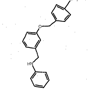 Cc1ccc(COc2cccc(CNc3ccccc3)c2)cc1